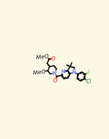 COC(=O)CC1CCN(C(=O)c2ccc3c(n2)C(C)(C)CN3c2ccc(Cl)c(F)c2)CC1OC